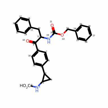 O=C(O)NC1CC1c1ccc(C(=O)C(Cc2ccccc2)NC(=O)OCc2ccccc2)cc1